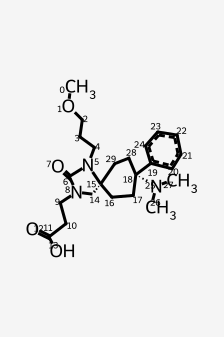 COCCCN1C(=O)N(CCC(=O)O)C[C@]12CC[C@@](c1ccccc1)(N(C)C)CC2